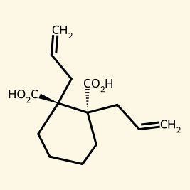 C=CC[C@@]1(C(=O)O)CCCC[C@@]1(CC=C)C(=O)O